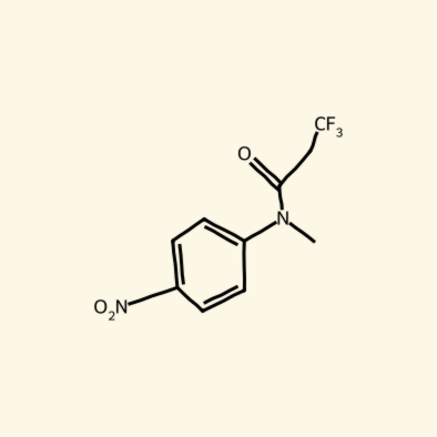 CN(C(=O)CC(F)(F)F)c1ccc([N+](=O)[O-])cc1